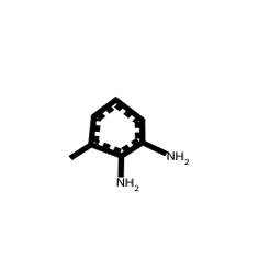 Cc1c[c]cc(N)c1N